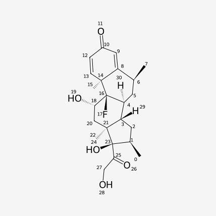 C[C@@H]1C[C@H]2[C@@H]3C[C@H](C)C4=CC(=O)C=C[C@]4(C)[C@@]3(F)[C@@H](O)C[C@]2(C)[C@@]1(O)C(=O)CO